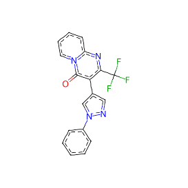 O=c1c(-c2cnn(-c3ccccc3)c2)c(C(F)(F)F)nc2ccccn12